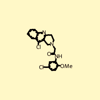 COc1ccc(Cl)cc1NC(=O)CN1CCc2nc3ccccc3c(Cl)c2C1